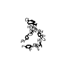 CC(C)c1ccc(COc2nc(Nc3ccc(C(=O)NCC(C)(C)CNC(=O)C(=O)Nc4ccc(F)cc4F)c(F)c3)nc(NC3(c4ccc(Cl)cc4)CC3)n2)cc1